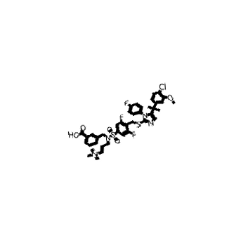 COc1cc(C(C)(C)c2cnc(SCc3c(F)cc(S(=O)(=O)N(CCC[N+](C)(C)C)Cc4cccc(C(=O)O)c4)cc3F)n2-c2ccc(F)cc2)ccc1Cl